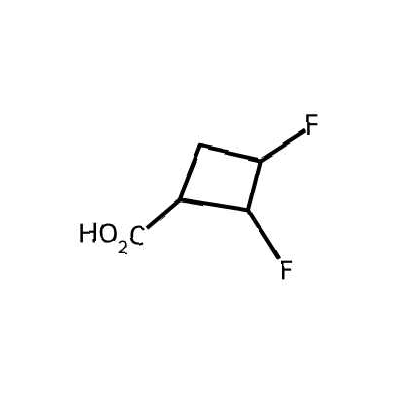 O=C(O)C1CC(F)C1F